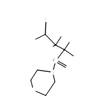 O=S(=O)(N1CCOCC1)C(F)(F)C(F)(F)C(F)F